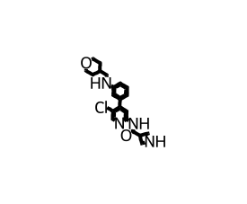 O=C(Nc1cc(-c2cccc(NCC3CCOCC3)c2)c(Cl)cn1)C1CNC1